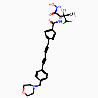 CC(O)(C(F)F)[C@H](NC(=O)c1ccc(C#CC#Cc2ccc(CN3CCOCC3)cc2)cc1)C(=O)NO